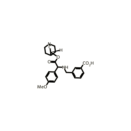 COc1ccc(C(NCc2cccc(C(=O)O)c2)C(=O)O[C@H]2CN3CCC2CC3)cc1